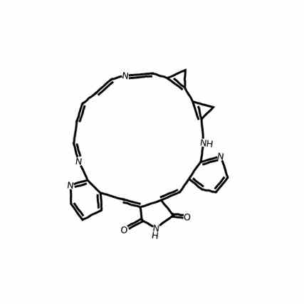 O=C1NC(=O)c2cc3cccnc3[nH]c3c(c4c(cncccccnc5ncccc5cc21)C4)C3